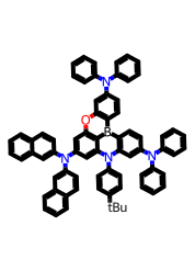 CC(C)(C)c1ccc(N2c3cc(N(c4ccccc4)c4ccccc4)ccc3B3c4ccc(N(c5ccccc5)c5ccccc5)cc4Oc4cc(N(c5ccc6ccccc6c5)c5ccc6ccccc6c5)cc2c43)cc1